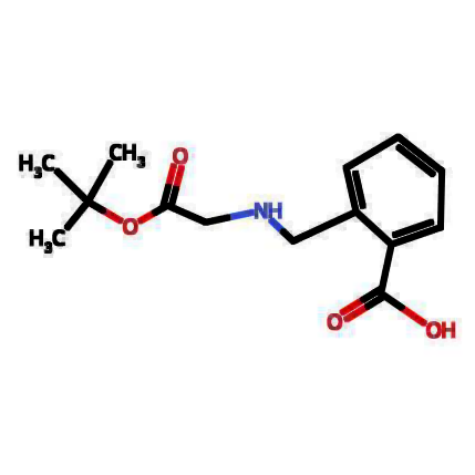 CC(C)(C)OC(=O)CNCc1ccccc1C(=O)O